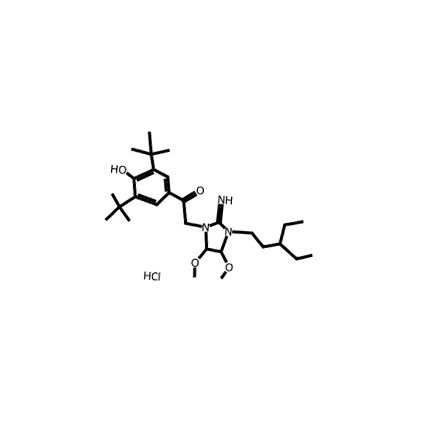 CCC(CC)CCN1C(=N)N(CC(=O)c2cc(C(C)(C)C)c(O)c(C(C)(C)C)c2)C(OC)C1OC.Cl